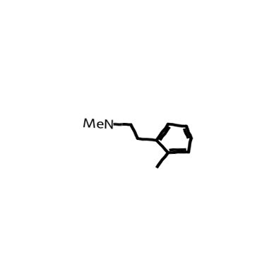 CNCCc1ccccc1C